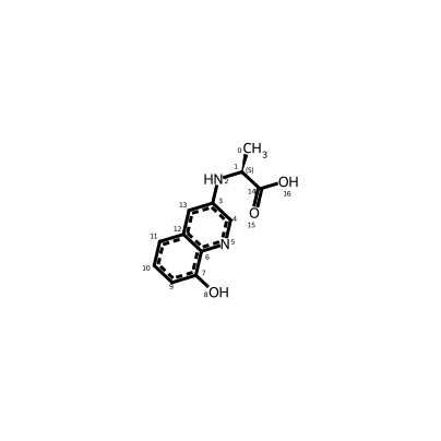 C[C@H](Nc1cnc2c(O)cccc2c1)C(=O)O